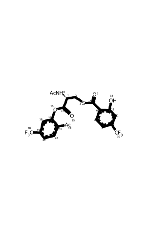 CC(=O)N[C@H](CSC(=O)c1ccc(C(F)(F)F)cc1O)C(=O)Oc1cc(C(F)(F)F)ccc1C(C)=O